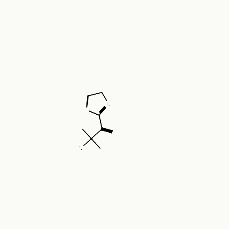 CC(C)(N)C(=O)C1=NCCO1